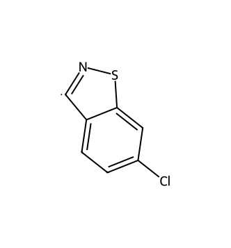 Clc1ccc2[c]nsc2c1